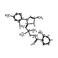 CC1=CN(c2ccc(C)cc2C)C(=CC(C)(C)CNC(=O)c2ccccc2O)S1